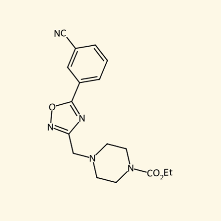 CCOC(=O)N1CCN(Cc2noc(-c3cccc(C#N)c3)n2)CC1